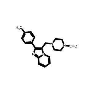 Cc1ccc(-c2nc3ccccn3c2CN2CCN(C=O)CC2)cc1